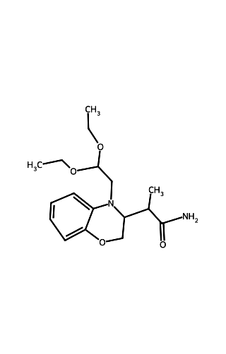 CCOC(CN1c2ccccc2OCC1C(C)C(N)=O)OCC